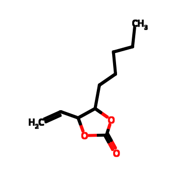 C=CC1OC(=O)OC1CCCCC